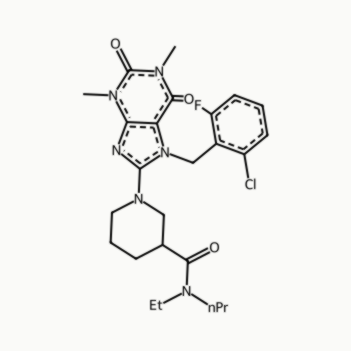 CCCN(CC)C(=O)C1CCCN(c2nc3c(c(=O)n(C)c(=O)n3C)n2Cc2c(F)cccc2Cl)C1